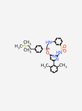 Cc1cccc(C)c1-c1cc2nc(n1)NS(=O)(=O)c1cccc(c1)NC[C@@H](c1ccc(CCS(C)(C)C)cc1)O2